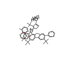 Cl.Cl.[CH2]=[Zr]([C]1=C(C(C)(C)C)C(C)=CC1)([c]1ccc(C)cc1)([c]1ccc(C)cc1)[c]1c2c(cc(C(C)(C)C)c1-c1ccccc1)-c1cc(C(C)(C)C)c(-c3ccccc3)cc1C2